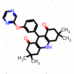 CC1(C)CC(=O)C2=C(C1)NC1=C(C(=O)CC(C)(C)C1)C2c1cccc(Oc2cnccn2)c1